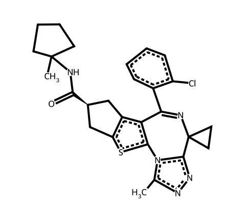 Cc1nnc2n1-c1sc3c(c1C(c1ccccc1Cl)=NC21CC1)C[C@H](C(=O)NC1(C)CCCC1)C3